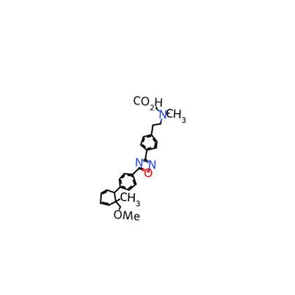 COCC1(C)C=CC=CC1c1ccc(-c2nc(-c3ccc(CCN(C)CC(=O)O)cc3)no2)cc1